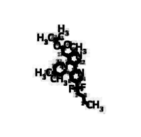 CCCCC(F)(F)c1ccc(-c2cnc(C)c(CC(=O)OC(C)C)c2N2CCC(C)(C)CC2)nc1